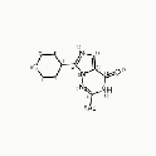 CC(=O)c1nn2c(C3CCOCC3)ncc2c(=O)[nH]1